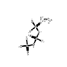 O=P([O-])([O-])OP(=O)([O-])OP(=O)([O-])[O-].[Fe+2].[Li+].[Mn+2]